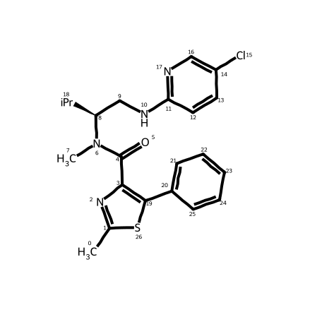 Cc1nc(C(=O)N(C)[C@H](CNc2ccc(Cl)cn2)C(C)C)c(-c2ccccc2)s1